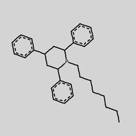 CCCCCCCCP1C(c2ccccc2)CC(c2ccccc2)CC1c1ccccc1